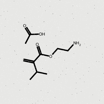 C=C(C(=O)OCCN)C(C)C.CC(=O)O